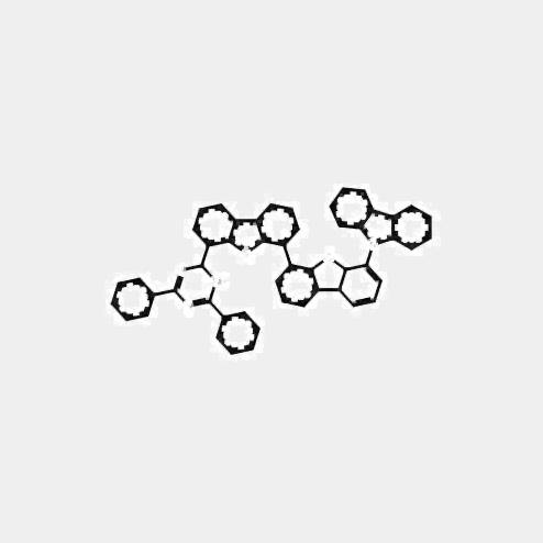 C1=CC2c3cccc(-c4cccc5c4sc4c(C6N=C(c7ccccc7)N=C(c7ccccc7)N6)cccc45)c3OC2C(n2c3ccccc3c3ccccc32)=C1